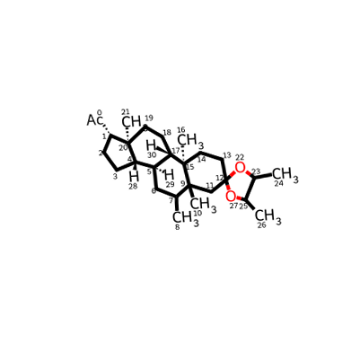 CC(=O)[C@H]1CC[C@H]2[C@@H]3CC(C)C4(C)CC5(CC[C@]4(C)[C@H]3CC[C@]12C)OC(C)C(C)O5